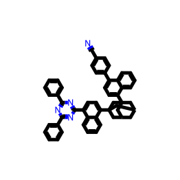 N#Cc1ccc(-c2ccc(C34CC5CC(C3)CC(c3ccc(-c6nc(-c7ccccc7)nc(-c7ccccc7)n6)c6ccccc36)(C5)C4)c3ccccc23)cc1